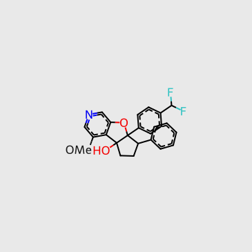 COc1cncc2c1C1(O)CCC(c3ccccc3)C1(c1ccc(C(F)F)cc1)O2